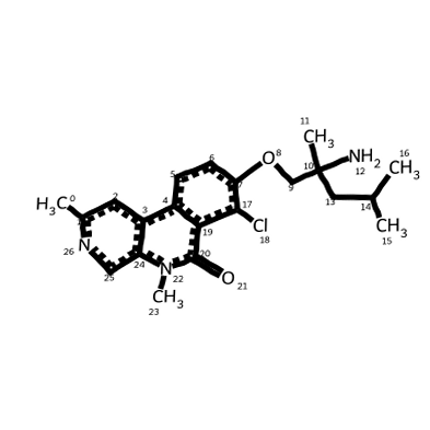 Cc1cc2c3ccc(OCC(C)(N)CC(C)C)c(Cl)c3c(=O)n(C)c2cn1